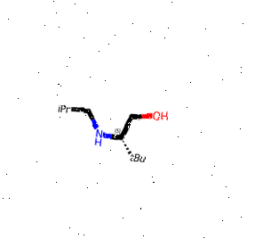 CC(C)CN[C@H](CO)C(C)(C)C